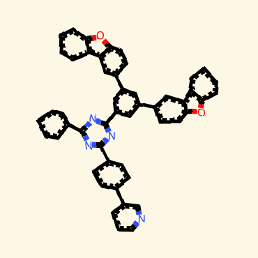 c1ccc(-c2nc(-c3ccc(-c4cccnc4)cc3)nc(-c3cc(-c4ccc5oc6ccccc6c5c4)cc(-c4ccc5oc6ccccc6c5c4)c3)n2)cc1